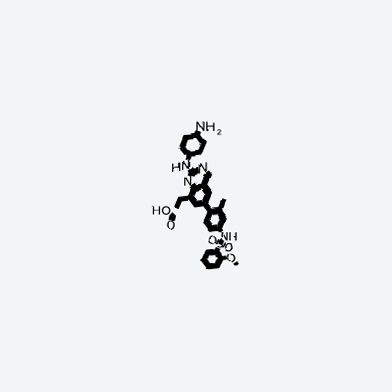 CCc1cc(-c2ccc(NS(=O)(=O)c3ccccc3OC)cc2C)cc2cnc(NC3CCC(N)CC3)nc12.O=CO